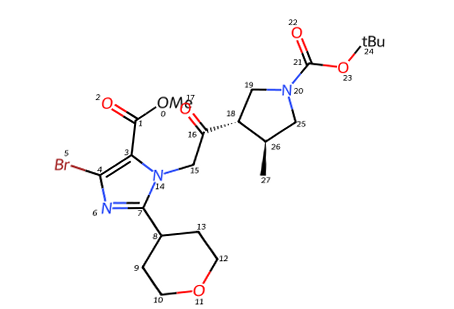 COC(=O)c1c(Br)nc(C2CCOCC2)n1CC(=O)[C@@H]1CN(C(=O)OC(C)(C)C)C[C@H]1C